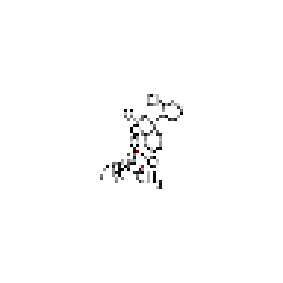 C[C@@H](Oc1ccc2c(-c3ccccc3Cl)cc(=O)oc2c1)C(=C=O)N1CC2CCC(C1)N2C1CCCCC1